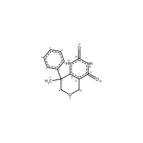 CC1(c2ccccc2)COCc2c1[nH]c(=O)[nH]c2=O